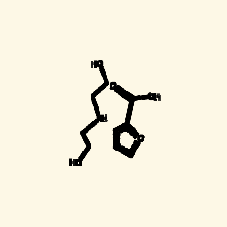 O=C(O)c1ccco1.OCCNCCO